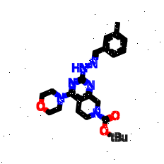 Cc1cccc(/C=N/Nc2nc3c(c(N4CCOCC4)n2)CCN(C(=O)OC(C)(C)C)C3)c1